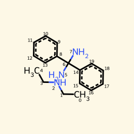 CCNCC.NC(N)(c1ccccc1)c1ccccc1